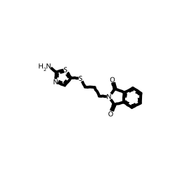 Nc1ncc(SCCCN2C(=O)c3ccccc3C2=O)s1